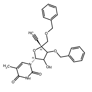 C#C[C@]1(COCc2ccccc2)O[C@@H](n2cc(C)c(=O)[nH]c2=O)C(O)C1OCc1ccccc1